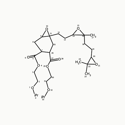 CC(C)OCCOC(=O)C1CC2OC2(CCC2OC2(C)CCC2OC2(C)C)CC1C(=O)OCCOC(C)C